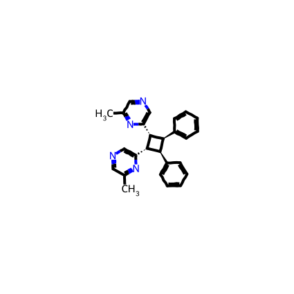 Cc1cncc([C@@H]2[C@@H](c3ccccc3)[C@@H](c3ccccc3)[C@@H]2c2cncc(C)n2)n1